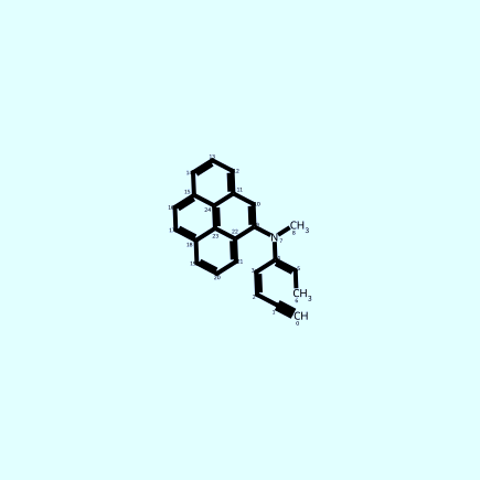 C#C/C=C\C(=C/C)N(C)c1cc2cccc3ccc4cccc1c4c32